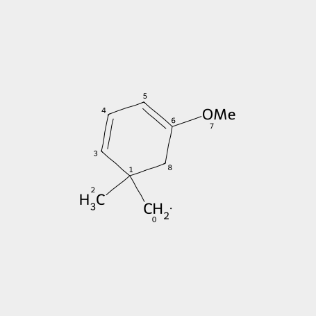 [CH2]C1(C)C=CC=C(OC)C1